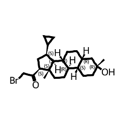 C[C@@]1(O)CC[C@H]2[C@H](CC[C@@H]3[C@@H]2CC[C@@]2(C)[C@H]3[C@H](C3CC3)C[C@@H]2C(=O)CBr)C1